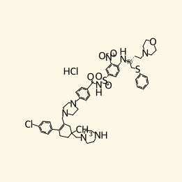 CC1(CN2CCNCC2)CCC(c2ccc(Cl)cc2)=C(CN2CCN(c3ccc(C(=O)NS(=O)(=O)c4ccc(N[C@H](CCN5CCOCC5)CSc5ccccc5)c([N+](=O)[O-])c4)cc3)CC2)C1.Cl